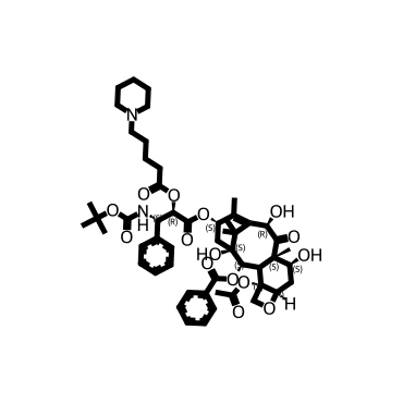 CC(=O)O[C@@]12CO[C@@H]1C[C@H](O)[C@@]1(C)C(=O)[C@H](O)C3=C(C)[C@@H](OC(=O)[C@H](OC(=O)CCCCN4CCCCC4)[C@@H](NC(=O)OC(C)(C)C)c4ccccc4)C[C@@](O)([C@@H](OC(=O)c4ccccc4)C12)C3(C)C